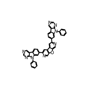 c1ccc(-n2c3cc(-c4cc5c(cn4)oc4cnc(-c6ccc7c8cncnc8n(-c8ccccc8)c7c6)cc45)ccc3c3cncnc32)cc1